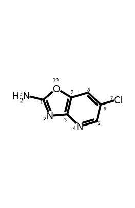 Nc1nc2ncc(Cl)cc2o1